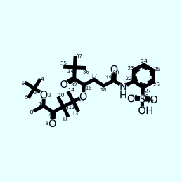 CC(OC(C)(C)C)C(=O)C(C)(C)C(C)(C)OC(CCC(=O)Nc1ccccc1S(=O)(=O)O)C(=O)C(C)(C)C